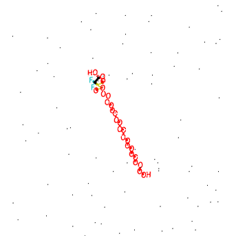 O=C(O)C(F)(F)S(=O)(=O)OOOOOOOOOOOOOOOOOOOOO